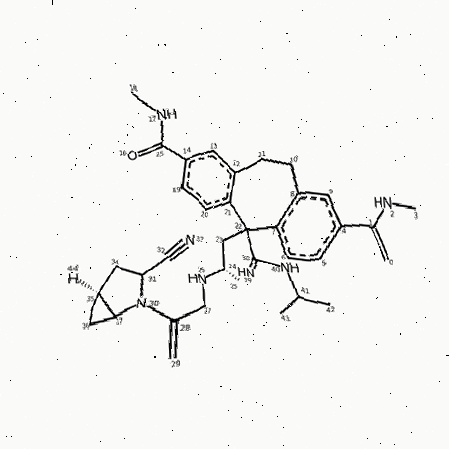 C=C(NC)c1ccc2c(c1)CCc1cc(C(=O)NC)ccc1C2(C[C@H](C)NCC(=C)N1C(C#N)C[C@@H]2CC21)C(=N)NC(C)C